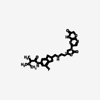 CC(C(=O)Nc1cc(F)c2c(c1)CC(CNCC[C@H]1CN(c3cnc4c(n3)NC(=O)CO4)C(=O)O1)C2)N(C)C